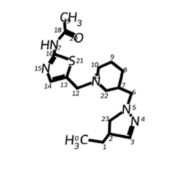 CCC1C=NN(CC2CCCN(Cc3cnc(NC(C)=O)s3)C2)C1